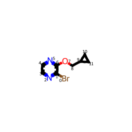 Brc1nccnc1OCC1CC1